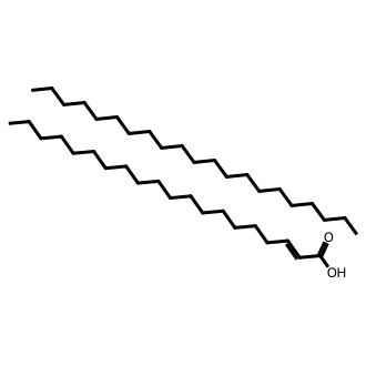 CCCCCCCCCCCCCCCCCC=CC(=O)O.CCCCCCCCCCCCCCCCCCCCC